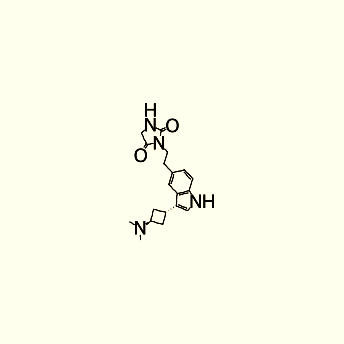 CN(C)[C@H]1C[C@H](c2c[nH]c3ccc(CCN4C(=O)CNC4=O)cc32)C1